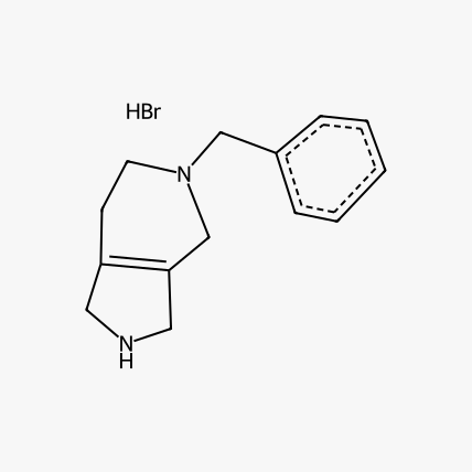 Br.c1ccc(CN2CCC3=C(CNC3)C2)cc1